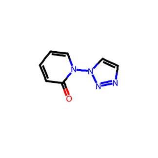 O=c1ccccn1-n1ccnn1